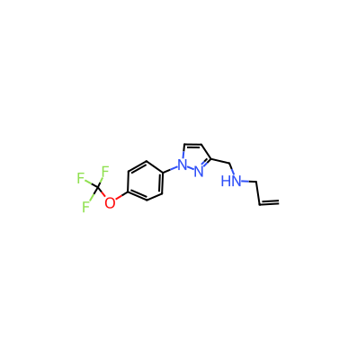 C=CCNCc1ccn(-c2ccc(OC(F)(F)F)cc2)n1